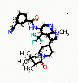 CC(C(=O)N1CCC(c2cn(C)c3ncc(NC(=O)c4cccc(C#N)c4)c(C(F)(F)F)c23)CC1)C(C)(C)C